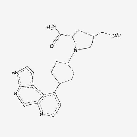 COCC1CC(C(N)=O)N(C2CCC(c3ccnc4cnc5[nH]ccc5c34)CC2)C1